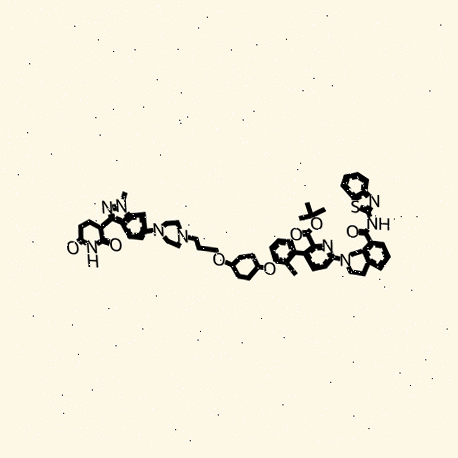 Cc1c(OC2CCC(OCCCN3CCN(c4ccc5c(C6CCC(=O)NC6=O)nn(C)c5c4)CC3)CC2)cccc1-c1ccc(N2CCc3cccc(C(=O)Nc4nc5ccccc5s4)c3C2)nc1C(=O)OC(C)(C)C